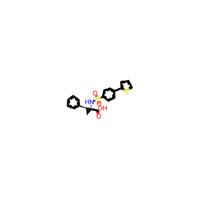 O=C(O)[C@@]1(NS(=O)(=O)c2ccc(-c3cccs3)cc2)C[C@H]1c1ccccc1